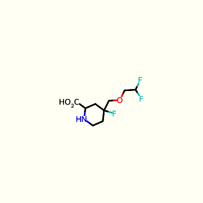 O=C(O)C1CC(F)(COCC(F)F)CCN1